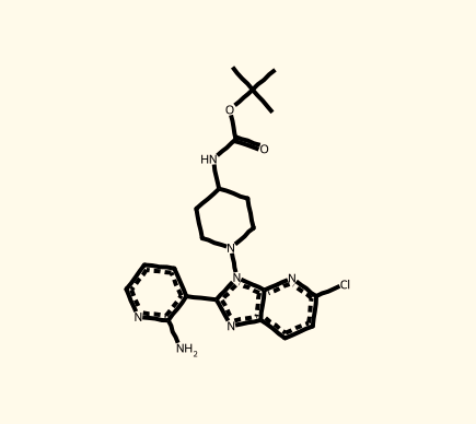 CC(C)(C)OC(=O)NC1CCN(n2c(-c3cccnc3N)nc3ccc(Cl)nc32)CC1